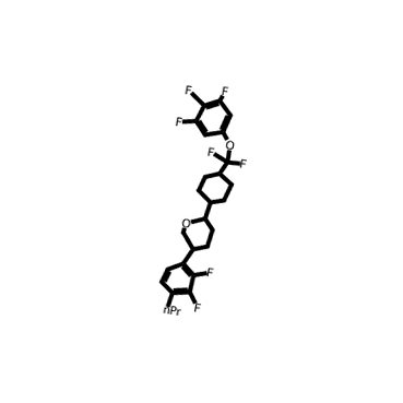 CCCc1ccc(C2CCC(C3CCC(C(F)(F)Oc4cc(F)c(F)c(F)c4)CC3)OC2)c(F)c1F